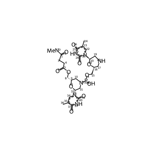 CNC(=O)CCC(=O)OC[C@@H]1CN(P(O)OC[C@@H]2CNC[C@H](n3cc(C)c(=O)[nH]c3=O)O2)C[C@H](n2cc(C)c(=O)[nH]c2=O)O1